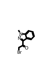 Cn1nc(C(=O)CBr)c2ccccc21